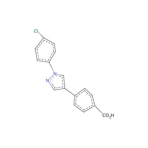 O=C(O)c1ccc(-c2cnn(-c3ccc(Cl)cc3)c2)cc1